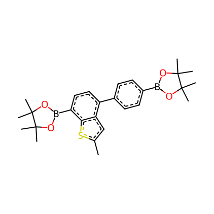 Cc1cc2c(-c3ccc(B4OC(C)(C)C(C)(C)O4)cc3)ccc(B3OC(C)(C)C(C)(C)O3)c2s1